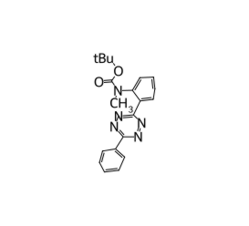 CN(C(=O)OC(C)(C)C)c1ccccc1-c1nnc(-c2ccccc2)nn1